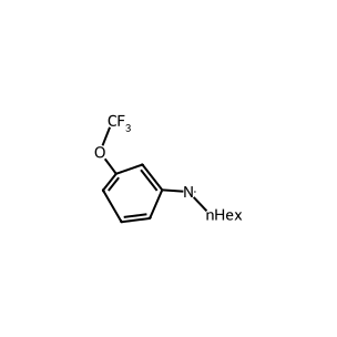 CCCCCC[N]c1cccc(OC(F)(F)F)c1